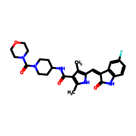 Cc1[nH]c(/C=C2\C(=O)Nc3ccc(F)cc32)c(C)c1C(=O)NC1CCN(C(=O)N2CCOCC2)CC1